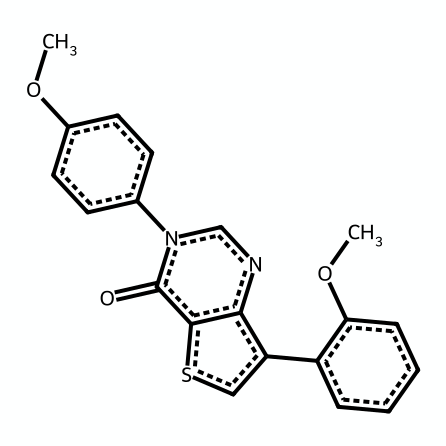 COc1ccc(-n2cnc3c(-c4ccccc4OC)csc3c2=O)cc1